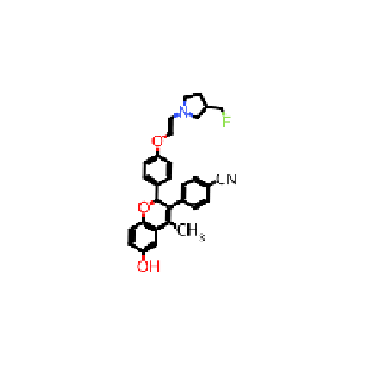 CC1=C(c2ccc(C#N)cc2)C(c2ccc(OCCN3CCC(CF)C3)cc2)Oc2ccc(O)cc21